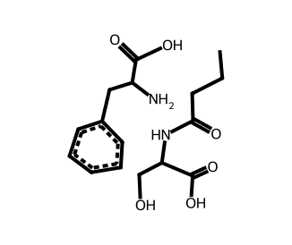 CCCC(=O)NC(CO)C(=O)O.NC(Cc1ccccc1)C(=O)O